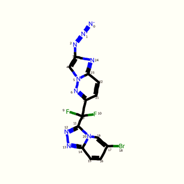 [N-]=[N+]=Nc1cn2nc(C(F)(F)c3nnc4ccc(Br)cn34)ccc2n1